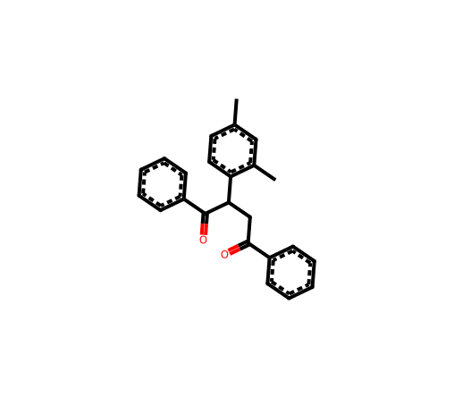 Cc1ccc(C(CC(=O)c2ccccc2)C(=O)c2ccccc2)c(C)c1